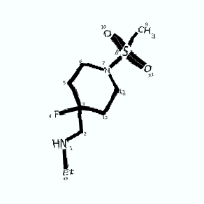 CCNCC1(F)CCN(S(C)(=O)=O)CC1